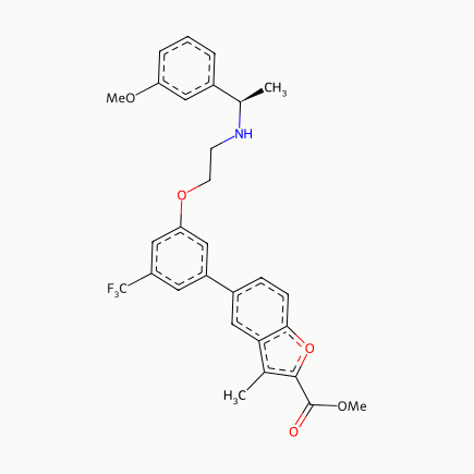 COC(=O)c1oc2ccc(-c3cc(OCCN[C@H](C)c4cccc(OC)c4)cc(C(F)(F)F)c3)cc2c1C